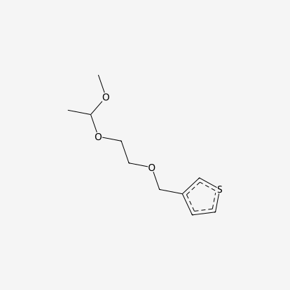 COC(C)OCCOCc1ccsc1